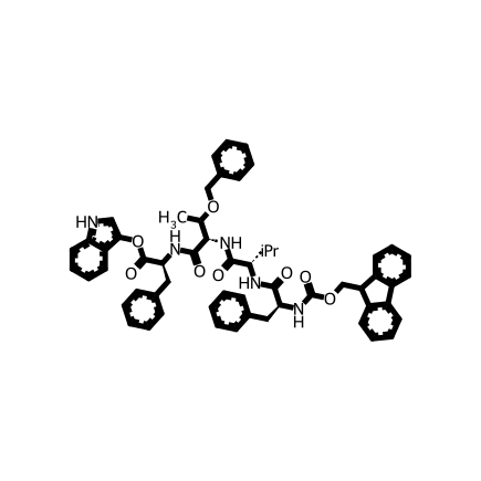 CC(C)[C@H](NC(=O)[C@H](Cc1ccccc1)NC(=O)OCC1c2ccccc2-c2ccccc21)C(=O)N[C@H](C(=O)N[C@@H](Cc1ccccc1)C(=O)Oc1c[nH]c2ccccc12)C(C)OCc1ccccc1